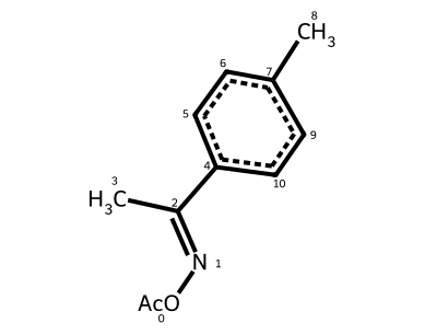 CC(=O)ON=C(C)c1ccc(C)cc1